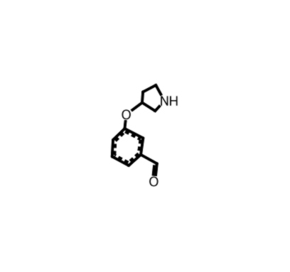 O=Cc1cccc(OC2CCNC2)c1